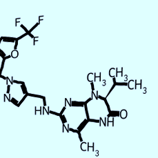 Cc1nc(NCc2cnn(Cc3ccc(C(F)(F)F)o3)c2)nc2c1NC(=O)[C@H](C(C)C)N2C